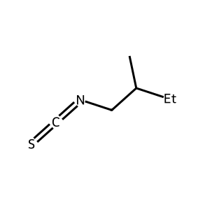 CCC(C)CN=C=S